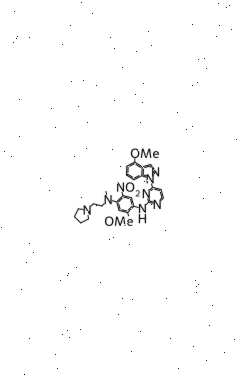 COc1cc(N(C)CCN2CCCC2)c([N+](=O)[O-])cc1Nc1nccc(-n2ncc3c(OC)cccc32)n1